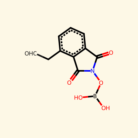 O=CCc1cccc2c1C(=O)N(OB(O)O)C2=O